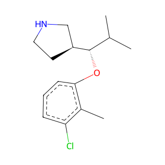 Cc1c(Cl)cccc1O[C@@H](C(C)C)[C@H]1CCNC1